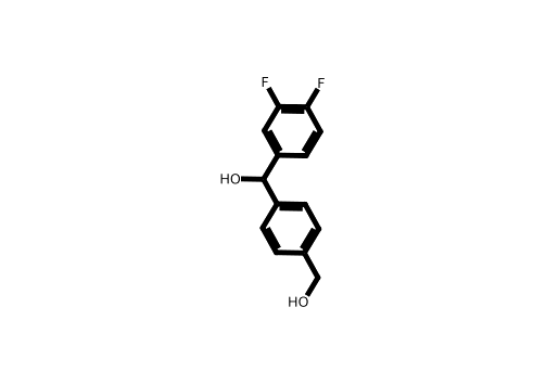 OCc1ccc(C(O)c2ccc(F)c(F)c2)cc1